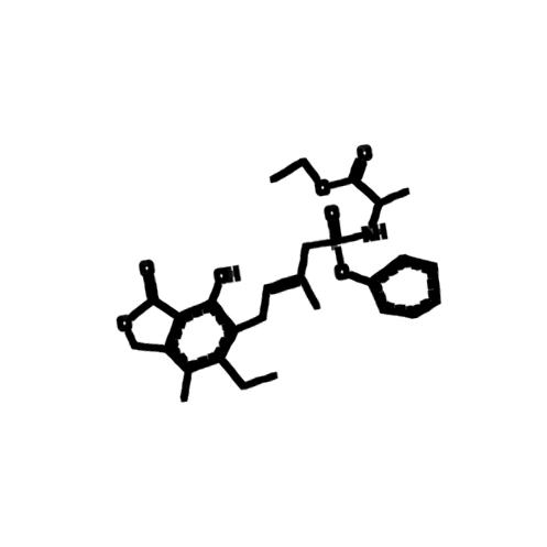 CCOC(=O)C(C)NP(=O)(C/C(C)=C/Cc1c(O)c2c(c(C)c1CC)COC2=O)Oc1ccccc1